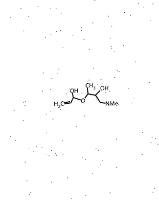 C=CC(O)OC(C)C(O)CNC